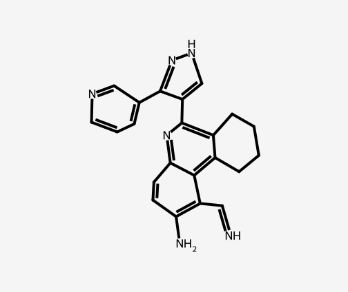 N=Cc1c(N)ccc2nc(-c3c[nH]nc3-c3cccnc3)c3c(c12)CCCC3